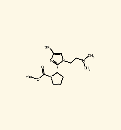 CN(C)CCn1cc(C(C)(C)C)nc1[C@@H]1CCCN1C(=O)OC(C)(C)C